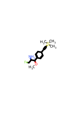 COC(C1=CCC(C#CS(C)(C)C)C=C1)C(N)CF